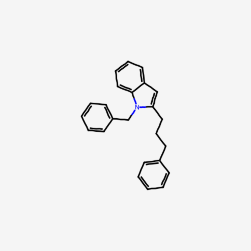 c1ccc(CCCc2cc3ccccc3n2Cc2ccccc2)cc1